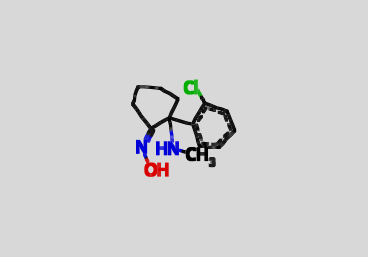 CNC1(c2ccccc2Cl)CCCC/C1=N/O